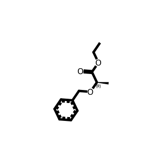 CCOC(=O)[C@@H](C)OCc1ccccc1